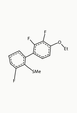 CCOc1ccc(-c2cccc(F)c2SC)c(F)c1F